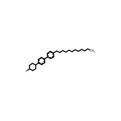 CCCCCCCCCCCCc1ccc(-c2ccc(C3CCC(F)CC3)cc2)cc1